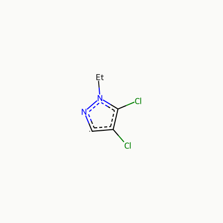 CCn1n[c]c(Cl)c1Cl